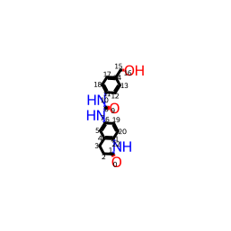 O=C1CCc2cc(NC(=O)Nc3ccc(CO)cc3)ccc2N1